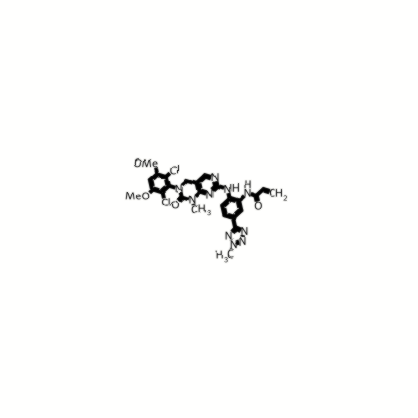 C=CC(=O)Nc1cc(-c2nnn(C)n2)ccc1Nc1ncc2c(n1)N(C)C(=O)N(c1c(Cl)c(OC)cc(OC)c1Cl)C2